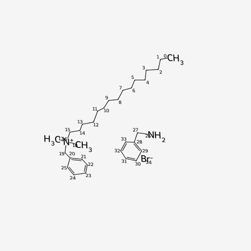 CCCCCCCCCCCCCCCC[N+](C)(C)Cc1ccccc1.NCc1ccccc1.[Br-]